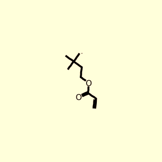 [CH2]C(C)(C)CCOC(=O)C=C